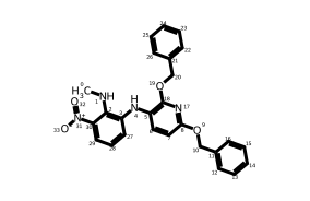 CNc1c(Nc2ccc(OCc3ccccc3)nc2OCc2ccccc2)cccc1[N+](=O)[O-]